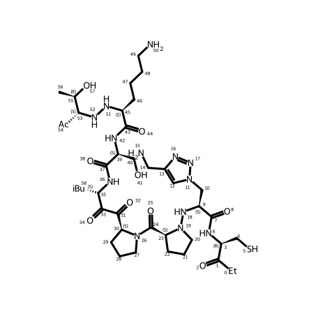 CCC(=O)[C@H](CS)NC(=O)[C@H](Cn1cc(CN)nn1)NN1CCC[C@H]1C(=O)N1CCC[C@H]1C(=O)C(=O)C(NC(=O)[C@H](CO)NC(=O)[C@H](CCCCN)NN[C@H](C(C)=O)[C@@H](C)O)[C@@H](C)CC